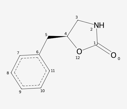 O=C1NC[C@H](Cc2ccccc2)O1